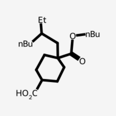 CCCCOC(=O)C1(CC(CC)CCCC)CCC(C(=O)O)CC1